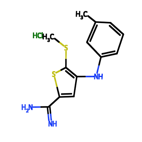 CSc1sc(C(=N)N)cc1Nc1cccc(C)c1.Cl